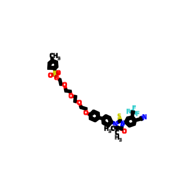 Cc1ccc(S(=O)(=O)OCCOCCOCCOCCOc2ccc(-c3ccc(N4C(=S)N(c5ccc(C#N)c(C(F)(F)F)c5)C(=O)C4(C)C)cc3)cc2)cc1